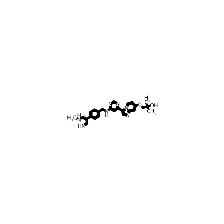 CN/C=C(\C=N)c1ccc(CNc2cc(-c3cnc4cc(OCC(C)(C)O)ccn34)ncn2)cc1